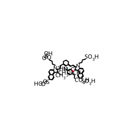 CC1(C)C(/C=C/C2=C(Nc3ccc(CCC(=O)O)cc3)C(=C/C=C3/N(CCCCS(=O)(=O)O)c4ccc5cc(S(=O)(=O)O)ccc5c4C3(C)C)/CCC2)=[N+](CCCCOS(=O)O)c2ccc3cc(SOOO)ccc3c21